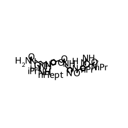 CCCCCCCNC(C(=O)NC(CCCNC(N)=O)CNc1ccc(COC(=O)NCc2cncc(NC(=O)c3ccc4c(c3)N=C(N)CC(C(=O)N(CCC)CCC)=C4)c2)cc1)C(C)C